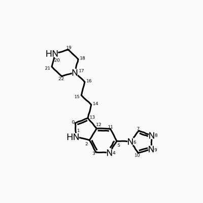 c1[nH]c2cnc(-n3cnnc3)cc2c1CCCN1CCNCC1